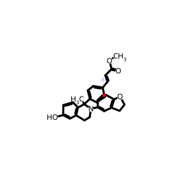 COC(=O)/C=C/c1ccc(C2(C)c3ccc(O)cc3CCN2c2ccc3c(c2)CCO3)cc1